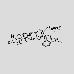 CCCCCCCN(Cc1ccc(OC(C)(C)C(=O)OCC)cc1)C(=O)Nc1ccccc1C